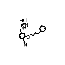 Cl.N#Cc1ccc(Cn2ccnc2)cc1OCCCCc1ccccc1